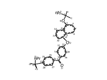 CCCC(C)(C)Oc1cccc2c(Oc3ccc(C(=O)c4ccc(C(C)(C)CCC)cc4)cc3)cccc12